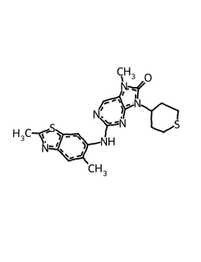 Cc1nc2cc(C)c(Nc3ncc4c(n3)n(C3CCSCC3)c(=O)n4C)cc2s1